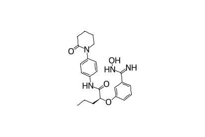 CCC[C@H](Oc1cccc(C(=N)NO)c1)C(=O)Nc1ccc(N2CCCCC2=O)cc1